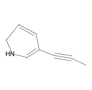 CC#CC1=CNCC=C1